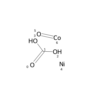 O=C(O)O.[Ni].[O]=[Co]